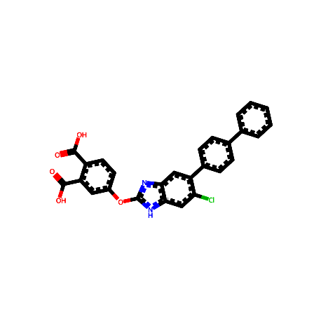 O=C(O)c1ccc(Oc2nc3cc(-c4ccc(-c5ccccc5)cc4)c(Cl)cc3[nH]2)cc1C(=O)O